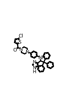 O=C(c1ccc(Cl)s1)N1CCN(c2ccc(NC(c3c[nH]cn3)C(c3ccccc3)(c3ccccc3)c3ccccc3)cc2)CC1